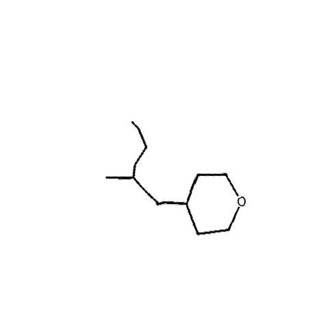 CCC(C)CC1CCOCC1